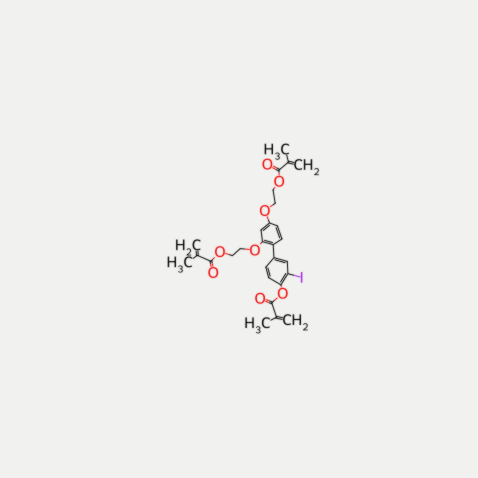 C=C(C)C(=O)OCCOc1ccc(-c2ccc(OC(=O)C(=C)C)c(I)c2)c(OCCOC(=O)C(=C)C)c1